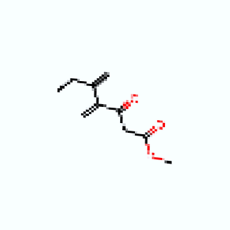 C=C(CC)C(=C)C(=O)CC(=O)OC